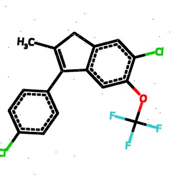 CC1=C(c2ccc(Cl)cc2)c2cc(OC(F)(F)F)c(Cl)cc2C1